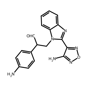 Nc1ccc(C(C=O)Cn2c(-c3nonc3N)nc3ccccc32)cc1